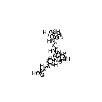 CC(C)(C)OC(=O)NCCCNc1nc(Nc2cccc(CCCNC(=O)O)c2)c2c(=O)[nH]ccc2n1